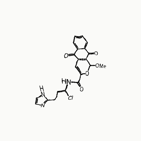 COC1OC(C(=O)NC(Cl)CCc2ncc[nH]2)=CC2=C1C(=O)c1ccccc1C2=O